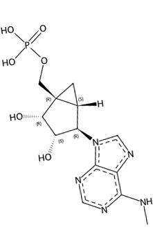 CNc1ncnc2c1ncn2[C@H]1[C@H](O)[C@H](O)[C@]2(COP(=O)(O)O)C[C@H]12